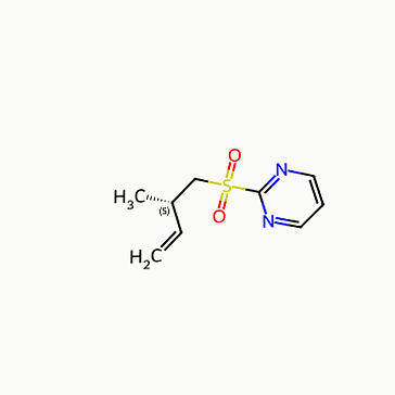 C=C[C@H](C)CS(=O)(=O)c1ncccn1